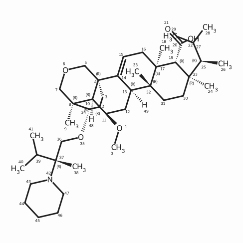 CO[C@@H]1C[C@@]23COC[C@@](C)([C@@H]2CC[C@H]2C3=CC[C@@]3(C)[C@H](C(=O)O)[C@@](C)([C@H](C)C(C)C)CC[C@]23C)[C@H]1OC[C@@](C)(C(C)C)N1CCCCC1